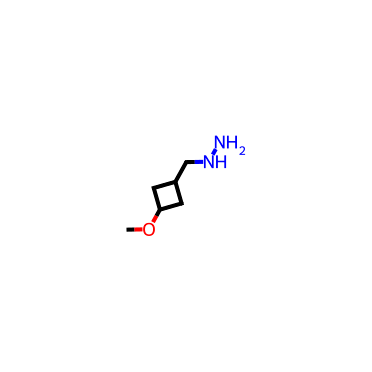 COC1CC(CNN)C1